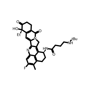 CC[C@@]1(O)C(=O)CCc2c1cc1n(c2=O)Cc2c-1nc1cc(F)c(C)c3c1c2[C@@H](NC(=O)CCCNC(C)(C)C)CC3